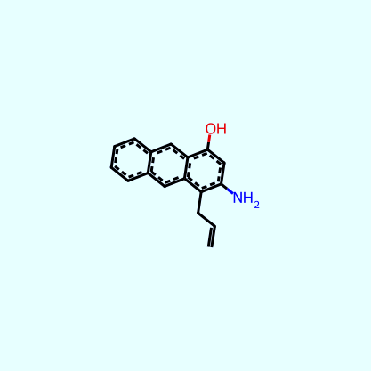 C=CCc1c(N)cc(O)c2cc3ccccc3cc12